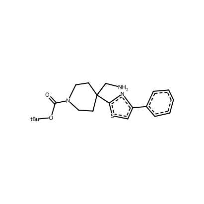 CC(C)(C)OC(=O)N1CCC(CN)(c2nc(-c3ccccc3)cs2)CC1